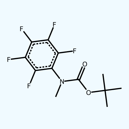 CN(C(=O)OC(C)(C)C)c1c(F)c(F)c(F)c(F)c1F